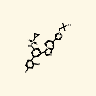 CC(C)(O)Cn1cc(-c2ccn3c(-c4cc(NS(=O)(=O)C5CC5)cc(-c5ccc(F)cc5F)c4)cnc3c2)cn1